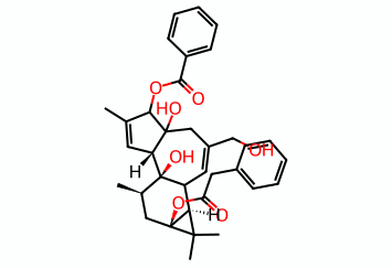 CC1=C[C@@H]2C(O)(CC(CO)=CC3[C@H]4C(C)(C)[C@]4(OC(=O)Cc4ccccc4)C[C@@H](C)[C@@]32O)C1OC(=O)c1ccccc1